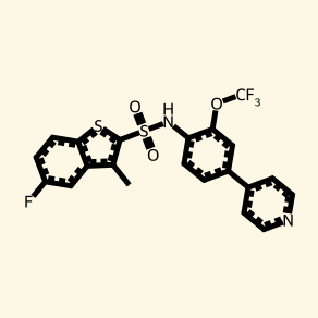 Cc1c(S(=O)(=O)Nc2ccc(-c3ccncc3)cc2OC(F)(F)F)sc2ccc(F)cc12